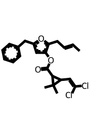 CC=CCc1oc(Cc2ccccc2)cc1OC(=O)C1C(C=C(Cl)Cl)C1(C)C